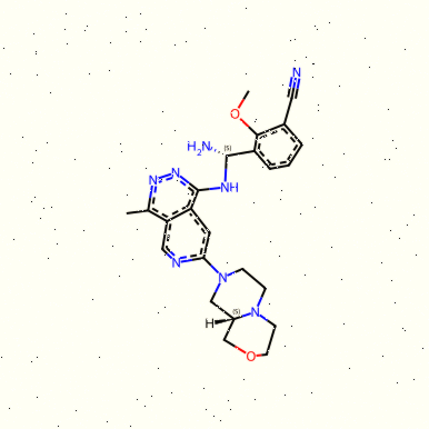 COc1c(C#N)cccc1[C@@H](N)Nc1nnc(C)c2cnc(N3CCN4CCOC[C@@H]4C3)cc12